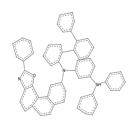 c1ccc(-c2nc3ccc4ccc5ccc(N(c6cccc([SiH](c7ccccc7)c7ccccc7)c6)c6ccccc6-c6ccccc6-c6ccccc6)cc5c4c3o2)cc1